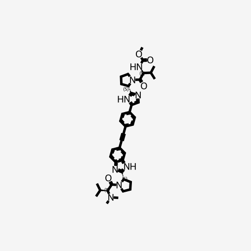 COC(=O)N[C@H](C(=O)N1CCC[C@H]1c1ncc(-c2ccc(C#Cc3ccc4nc([C@@H]5CCCN5C(=O)[C@H](C(C)C)N(C)C)[nH]c4c3)cc2)[nH]1)C(C)C